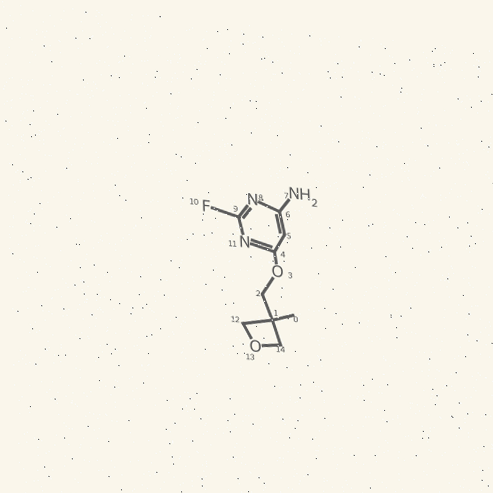 CC1(COc2cc(N)nc(F)n2)COC1